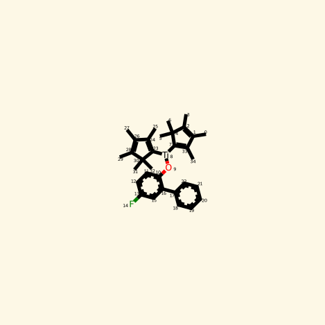 CC1=C(C)C(C)(C)[C]([Ti]([O]c2ccc(F)cc2-c2ccccc2)[C]2=C(C)C(C)=C(C)C2(C)C)=C1C